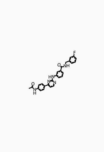 CC(=O)Nc1ccc(-c2ccnc(Nc3cccc(C(=O)NCc4cccc(F)c4)c3)n2)cc1